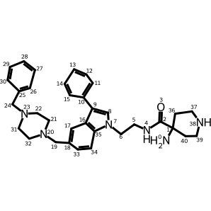 NC1(C(=O)NCCn2cc(-c3ccccc3)c3cc(CN4CCN(Cc5ccccc5)CC4)ccc32)CCNCC1